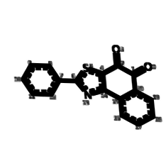 O=C1C(=O)c2sc(-c3ccccc3)nc2-c2ccccc21